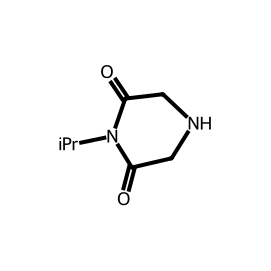 CC(C)N1C(=O)CNCC1=O